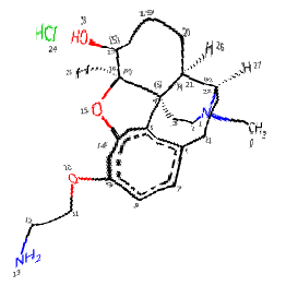 CN1CC[C@]23c4c5ccc(OCCN)c4O[C@H]2[C@@H](O)CC[C@H]3[C@H]1C5.Cl